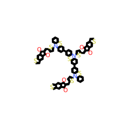 O=C1C(=Cc2ccc(N3c4ccccc4Sc4cc(-c5ccc6c(c5)Sc5cc(-c7ccc8c(c7)Sc7ccccc7N8c7ccc(/C=C8\C(=O)c9cc%10ccsc%10cc9C8=O)s7)ccc5N6c5ccc(/C=C6\C(=O)c7cc8ccsc8cc7C6=O)s5)ccc43)s2)C(=O)c2cc3cscc3cc21